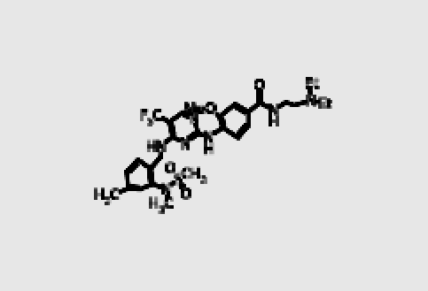 CCN(CC)CCNC(=O)c1ccc(Nc2ncc(C(F)(F)F)c(NCc3ccc(C)cc3N(C)S(C)(=O)=O)n2)c(OC)c1